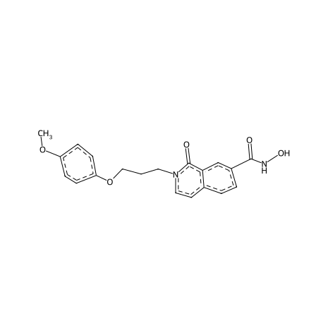 COc1ccc(OCCCn2ccc3ccc(C(=O)NO)cc3c2=O)cc1